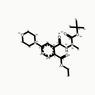 CCOC(=O)c1nnc(N2CCOCC2)cc1C(=O)NN(C)C(=O)OC(C)(C)C